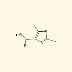 CCCC(CC)c1nc(C)sc1C